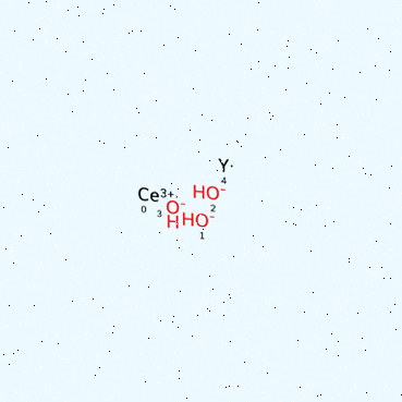 [Ce+3].[OH-].[OH-].[OH-].[Y]